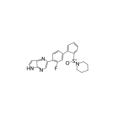 [O-][S+](c1ccccc1-c1ccc(-c2cnc3[nH]ccc3n2)c(F)c1)N1CCCCC1